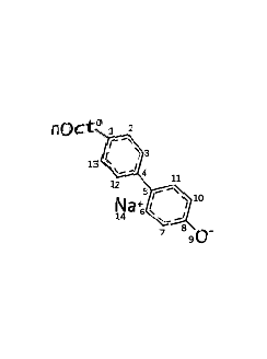 CCCCCCCCc1ccc(-c2ccc([O-])cc2)cc1.[Na+]